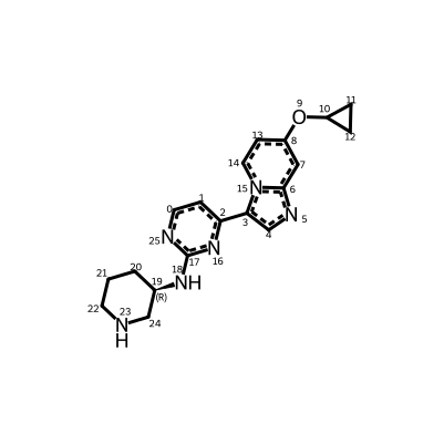 c1cc(-c2cnc3cc(OC4CC4)ccn23)nc(N[C@@H]2CCCNC2)n1